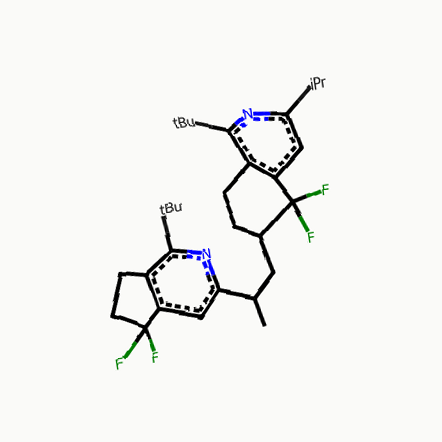 CC(C)c1cc2c(c(C(C)(C)C)n1)CCC(CC(C)c1cc3c(c(C(C)(C)C)n1)CCC3(F)F)C2(F)F